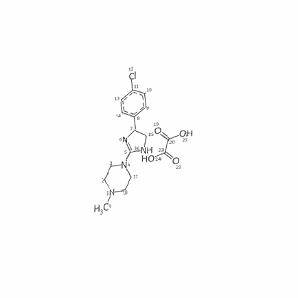 CN1CCN(C2=NC(c3ccc(Cl)cc3)CN2)CC1.O=C(O)C(=O)O